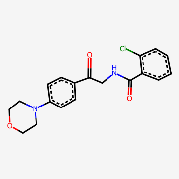 O=C(CNC(=O)c1ccccc1Cl)c1ccc(N2CCOCC2)cc1